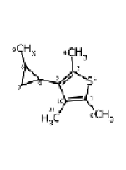 Cc1sc(C)c(C2CC2C)c1C